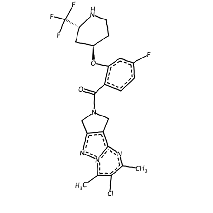 Cc1nc2c3c(nn2c(C)c1Cl)CN(C(=O)c1ccc(F)cc1O[C@@H]1CCN[C@@H](C(F)(F)F)C1)C3